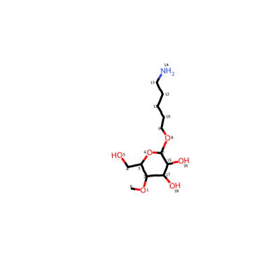 COC1C(CO)OC(OCCCCCN)C(O)C1O